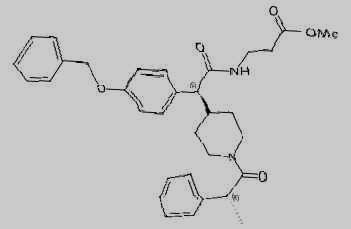 COC(=O)CCNC(=O)[C@H](c1ccc(OCc2ccccc2)cc1)C1CCN(C(=O)[C@H](C)c2ccccc2)CC1